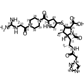 C[C@@H](NC(=O)Cn1cnnn1)[C@H]1C(=O)N2C(C(=O)O)=C(SC3CNC(C(=O)N4CCN(C(=O)CNC(N)N)CC4)C3)[C@H](C)[C@H]12